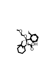 COCO[C@@](CC(C)C)(c1ccccc1I)N(C(=O)O)C1CCCCC1